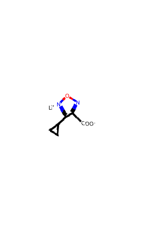 O=C([O-])c1nonc1C1CC1.[Li+]